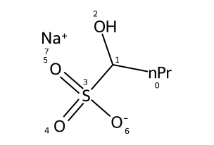 CCCC(O)S(=O)(=O)[O-].[Na+]